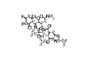 CCOc1c(CC(N)=O)cc([C@@](O)(CNC(=O)c2cc(OC3CC3)c3nc(C4CC4)sc3c2)C2CC2)nc1-c1ccc(F)c(F)c1Cl